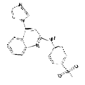 CS(=O)(=O)c1ccc(Nc2cc(-n3ccnc3)c3ccccc3n2)cc1